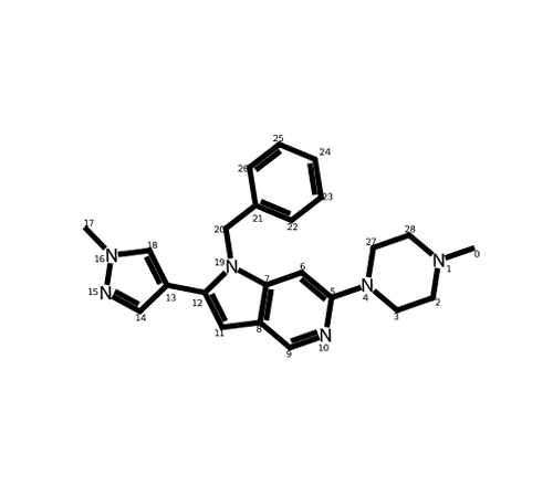 CN1CCN(c2cc3c(cn2)cc(-c2cnn(C)c2)n3Cc2ccccc2)CC1